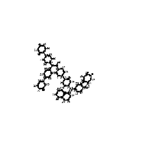 CC(c1ccc(-c2ccc(N(c3ccc4oc5ccccc5c4c3)c3cccc4ccccc34)cc2)cc1)C(c1ccc(-c2ccccc2)cc1)c1ccc(-c2ccccc2)cc1